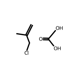 C=C(C)CCl.O=C(O)O